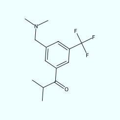 CC(C)C(=O)c1cc(CN(C)C)cc(C(F)(F)F)c1